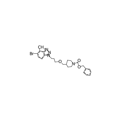 Cc1c(Br)ccc2c1nnn2CCCOCC1CCN(C(=O)OCc2ccccc2)CC1